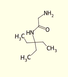 CCC(CC)(CC)NC(=O)CN